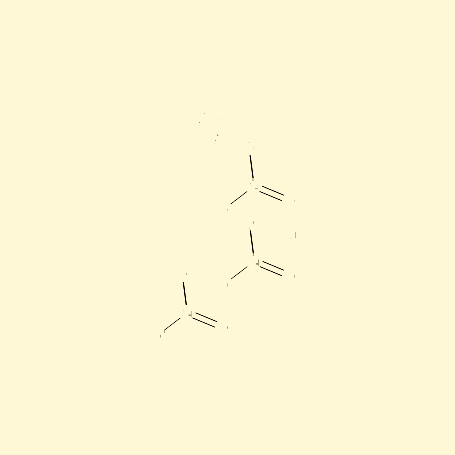 O=[Si]([O-])[O-].O=[Si]([O-])[O-].O=[Si]([O-])[O-].[Al+3].[Li+].[Zn+2]